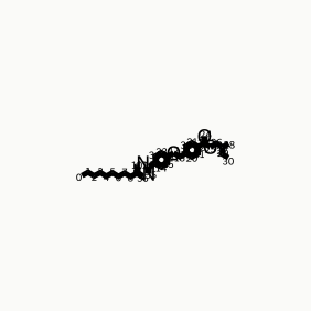 CCCCCCCCCc1cnc(-c2ccc(OCc3ccc(C(=O)OCC(C)CC)cc3)cc2)nc1